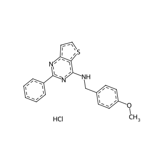 COc1ccc(CNc2nc(-c3ccccc3)nc3ccsc23)cc1.Cl